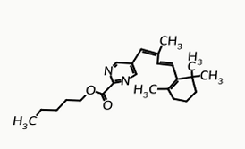 CCCCCOC(=O)c1ncc(C=C(C)C=CC2=C(C)CCCC2(C)C)cn1